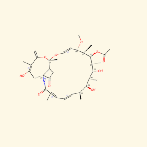 C=C1O[C@]2(C)O/C=C/[C@H](OC)[C@@H](C)[C@@H](OC(C)=O)[C@H](C)[C@H](O)[C@H](C)[C@@H](O)[C@@H](C)/C=C/C=C(/C)C(=O)N[C@]3(C/C(O)=C\1C)C(=O)CC23